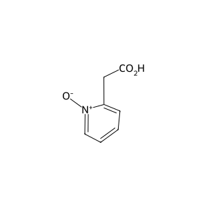 O=C(O)Cc1cccc[n+]1[O-]